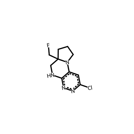 FCC12CCCN1c1cc(Cl)nnc1NC2